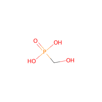 O=P(O)(O)CO